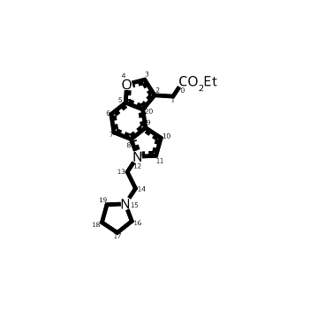 CCOC(=O)Cc1coc2ccc3c(ccn3CCN3CCCC3)c12